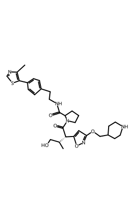 Cc1ncsc1-c1ccc(CCNC(=O)C2CCCN2C(=O)[C@H](c2cc(OCC3CCNCC3)no2)C(C)CO)cc1